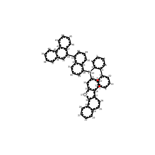 c1ccc(-c2ccccc2N(c2ccc3c(c2)oc2c4ccccc4ccc32)c2cccc3c(-c4cc5ccccc5c5ccccc45)cccc23)cc1